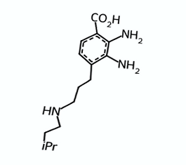 CC(C)CCNCCCc1ccc(C(=O)O)c(N)c1N